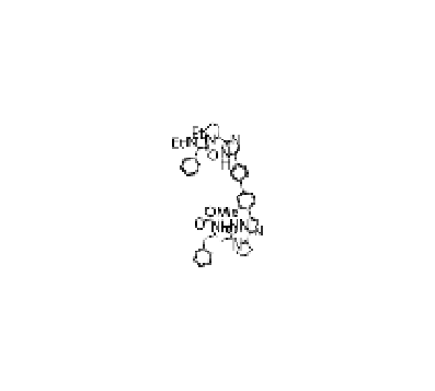 CCN(CC)C(C(=O)N1CCC[C@H]1c1ncc(-c2ccc(-c3ccc(-c4cnc([C@@H]5CCCN5C(=O)C[C@H](Cc5ccccc5)NC(=O)OC)[nH]4)cc3)cc2)[nH]1)c1ccccc1